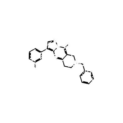 Clc1cccc(-c2cnn3c(Cl)c4c(nc23)CCN(Cc2ccccc2)C4)c1